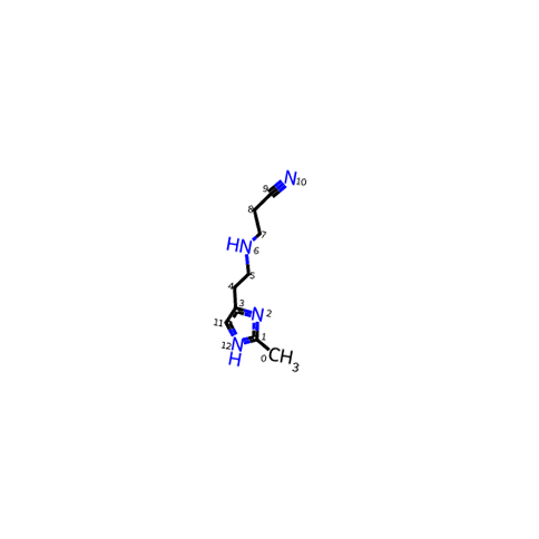 Cc1nc(CCNCCC#N)c[nH]1